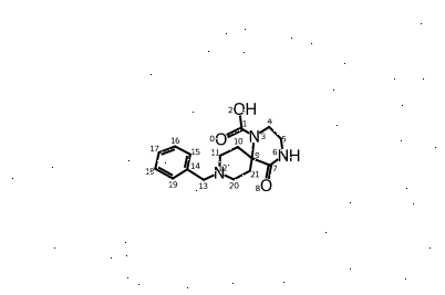 O=C(O)N1CCNC(=O)C12CCN(Cc1ccccc1)CC2